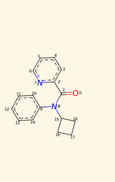 O=C(c1ccccn1)N(c1ccccc1)C1CCC1